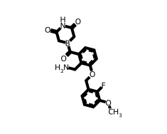 COc1cccc(COc2cccc(C(=O)B3CC(=O)NC(=O)C3)c2CN)c1F